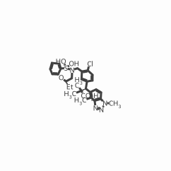 CC[C@@H]1CN(Cc2cc([C@@H](c3ccc4c(nnn4C)c3C)C(C)(C)C(=O)O)ccc2Cl)S(O)(O)c2ccccc2O1